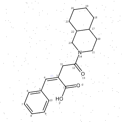 O=C(O)/C(=C\c1ccccc1)CC(=O)N1CCC2CCCCC2C1